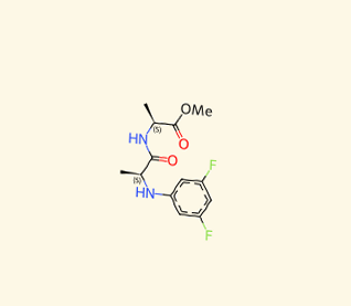 COC(=O)[C@H](C)NC(=O)[C@H](C)Nc1cc(F)cc(F)c1